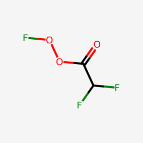 O=C(OOF)C(F)F